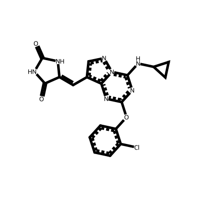 O=C1NC(=O)/C(=C/c2cnn3c(NC4CC4)nc(Oc4ccccc4Cl)nc23)N1